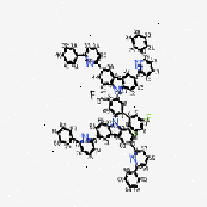 Fc1cc(F)cc(-c2cc(-n3c4ccc(-c5cccc(-c6ccccc6)n5)cc4c4cc(-c5cccc(-c6ccccc6)n5)ccc43)c(C(F)(F)F)cc2-n2c3ccc(-c4cccc(-c5ccccc5)n4)cc3c3cc(-c4cccc(-c5ccccc5)n4)ccc32)c1